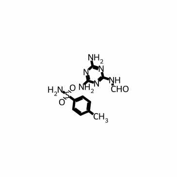 Cc1ccc(S(N)(=O)=O)cc1.Nc1nc(N)nc(NC=O)n1